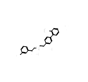 CCc1cc(C(=O)O)ccc1-c1ccc(CCNC[C@@H](O)c2cccc(Cl)c2)cc1.Cl